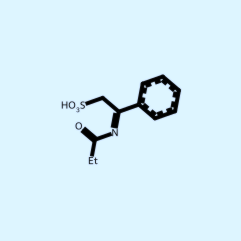 CCC(=O)N=C(CS(=O)(=O)O)c1ccccc1